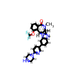 CN1C(=O)c2cccc(OC(F)F)c2[C@H]2C[C@@H]1c1nc3ccc(-c4ccc(N5CCNCC5)nc4)cc3n12